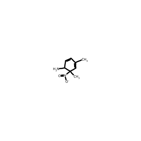 CC1=CC(C)([N+](=O)[O-])C(N)C=C1